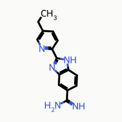 CCc1ccc(-c2nc3cc(C(=N)N)ccc3[nH]2)nc1